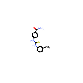 Cc1cccc(NC(=S)Nc2ccc(C(N)=O)cc2)c1